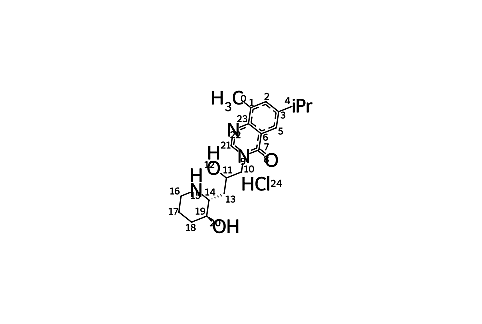 Cc1cc(C(C)C)cc2c(=O)n(CC(O)C[C@H]3NCCC[C@@H]3O)cnc12.Cl